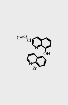 ClOCl.Oc1cccc2cccnc12.[Zr].c1ccc2ncccc2c1